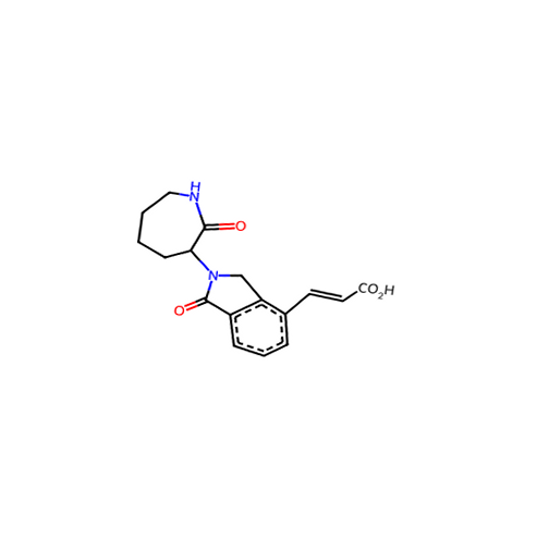 O=C(O)C=Cc1cccc2c1CN(C1CCCCNC1=O)C2=O